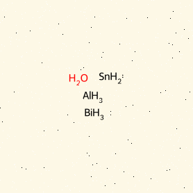 O.[AlH3].[BiH3].[SnH2]